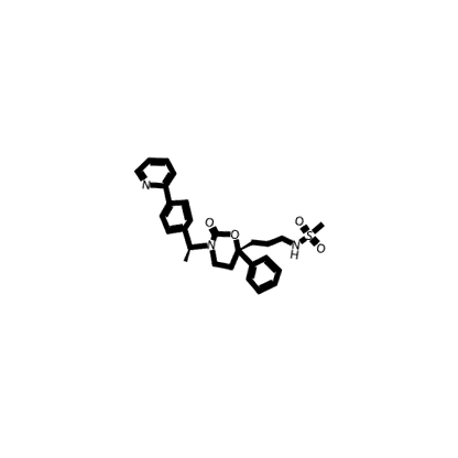 C[C@@H](c1ccc(-c2ccccn2)cc1)N1CC[C@@](CCCNS(C)(=O)=O)(c2ccccc2)OC1=O